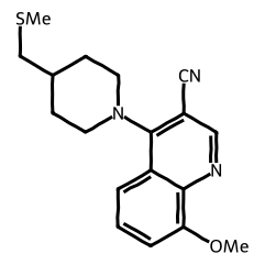 COc1cccc2c(N3CCC(CSC)CC3)c(C#N)cnc12